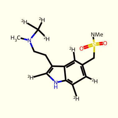 [2H]c1[nH]c2c([2H])c([2H])c(CS(=O)(=O)NC)c([2H])c2c1CCN(C)C([2H])([2H])[2H]